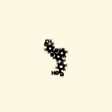 COc1ccc(S(=O)(=O)c2ccc(CN3CCC(C(=O)O)CC3)c3ccccc23)cc1